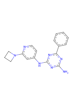 Nc1nc(Nc2ccnc(N3CCC3)c2)nc(-c2ccccc2)n1